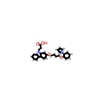 O=C(O)CCn1c2ccccc2c2ccc(OCCCCOc3ccccc3-n3cccc3)cc21